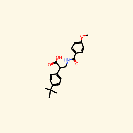 COc1ccc(C(=O)NCC(C(=O)O)c2ccc(C(C)(C)C)cc2)cc1